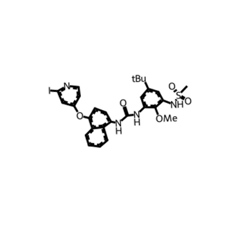 COc1c(NC(=O)Nc2ccc(Oc3ccnc(I)c3)c3ccccc23)cc(C(C)(C)C)cc1NS(C)(=O)=O